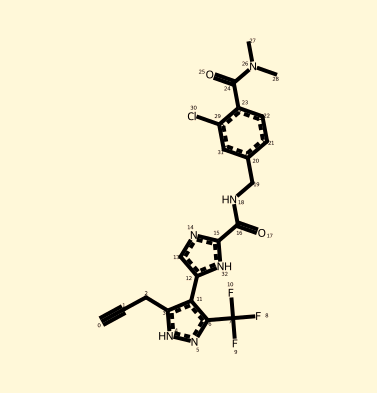 C#CCc1[nH]nc(C(F)(F)F)c1-c1cnc(C(=O)NCc2ccc(C(=O)N(C)C)c(Cl)c2)[nH]1